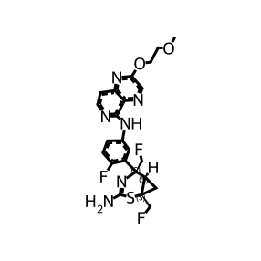 COCCOc1cnc2c(Nc3ccc(F)c([C@@]4(CF)N=C(N)S[C@@]5(CF)C[C@H]54)c3)nccc2n1